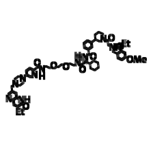 CCOc1cc(OC)ccc1CNCC(=O)N1CCCC(c2cccc(C(=O)N[C@@H](C(=O)NCCOCCOCCNC(=O)c3ccc(N4CCN(Cc5cnc6cc(CC)c(=O)[nH]c6c5)CC4)cn3)C3CCCCC3)c2)C1